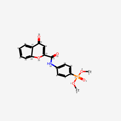 CCOP(=O)(OCC)c1ccc(NC(=O)c2cc(=O)c3ccccc3o2)cc1